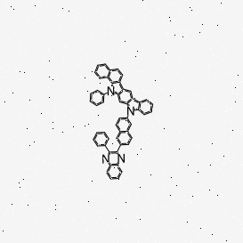 c1ccc(-c2nc3ccccc3nc2-c2ccc3cc(-n4c5ccccc5c5cc6c7ccc8ccccc8c7n(-c7ccccc7)c6cc54)ccc3c2)cc1